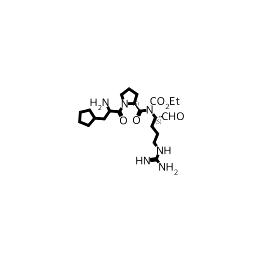 CCOC(=O)N(C(=O)[C@@H]1CCCN1C(=O)C(N)CC1CCCC1)[C@H](C=O)CCCNC(=N)N